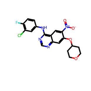 O=[N+]([O-])c1cc2c(Nc3ccc(F)c(Cl)c3)ncnc2cc1OC1CCOCC1